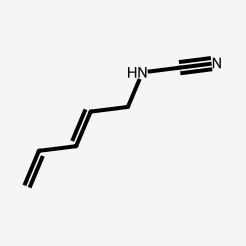 C=CC=CCNC#N